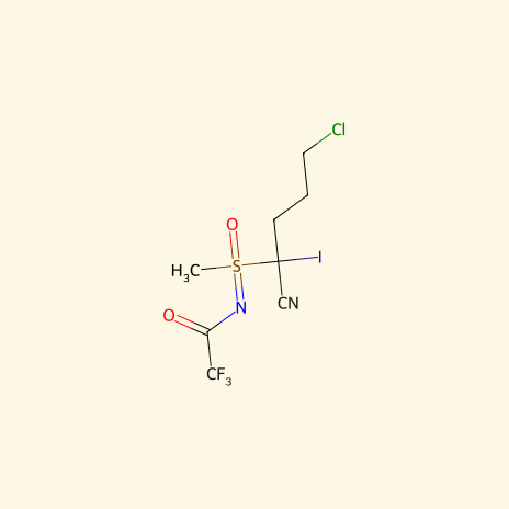 CS(=O)(=NC(=O)C(F)(F)F)C(I)(C#N)CCCCl